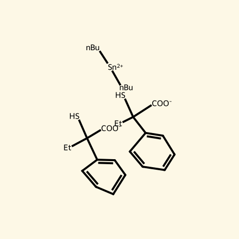 CCC(S)(C(=O)[O-])c1ccccc1.CCC(S)(C(=O)[O-])c1ccccc1.CCC[CH2][Sn+2][CH2]CCC